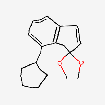 COC1(OC)C=Cc2cccc(C3CCCC3)c21